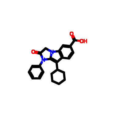 O=C(O)c1ccc2c(C3CCCCC3)c3n(c2c1)CC(=O)N3c1ccccc1